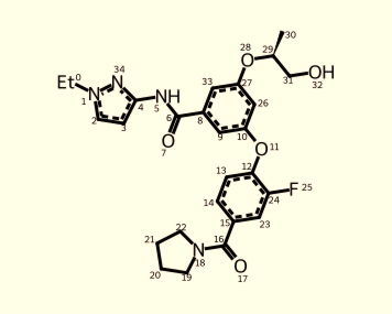 CCn1ccc(NC(=O)c2cc(Oc3ccc(C(=O)N4CCCC4)cc3F)cc(O[C@@H](C)CO)c2)n1